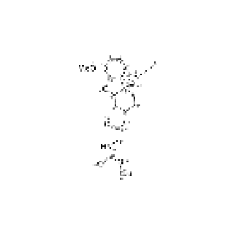 COc1ccc2c3c1OC1CC(OC(=O)CNC(=O)OC(C)(C)C)C=CC31CCCN(C)C2